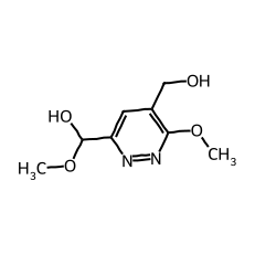 COc1nnc(C(O)OC)cc1CO